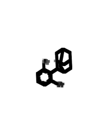 CC(C)c1cccc(C(C)C)c1C1[C]2CC3CC(C2)CC1C3